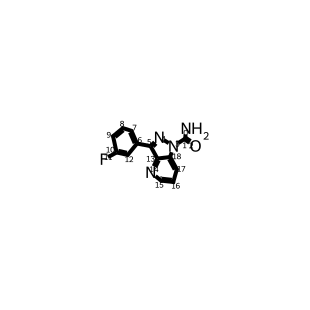 NC(=O)n1nc(-c2cccc(F)c2)c2n[c]ccc21